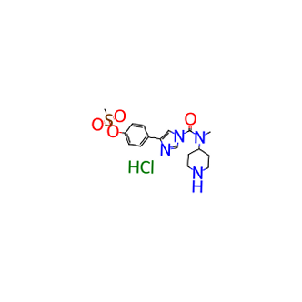 CN(C(=O)n1cnc(-c2ccc(OS(C)(=O)=O)cc2)c1)C1CCNCC1.Cl